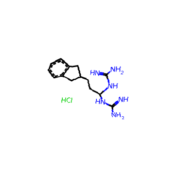 Cl.N=C(N)NC(CCC1Cc2ccccc2C1)NC(=N)N